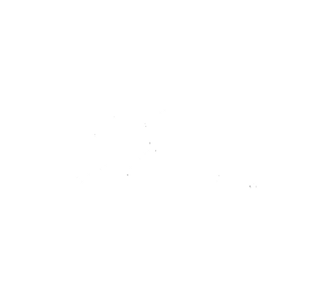 CC(=Cc1ccc(C)cc1)CCCO